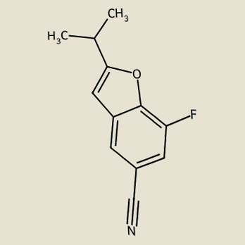 CC(C)c1cc2cc(C#N)cc(F)c2o1